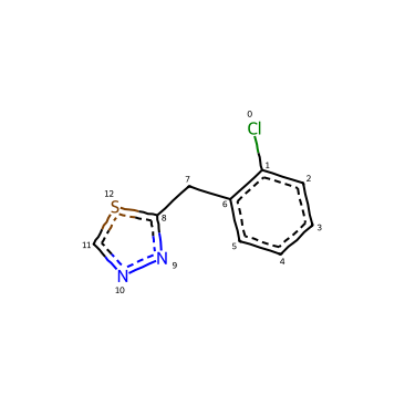 Clc1ccccc1Cc1nncs1